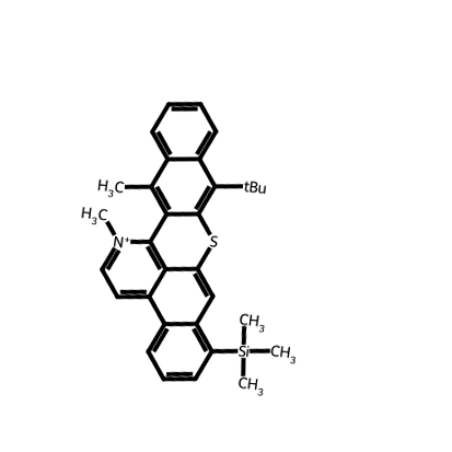 Cc1c2c(c(C(C)(C)C)c3ccccc13)Sc1cc3c([Si](C)(C)C)cccc3c3cc[n+](C)c-2c13